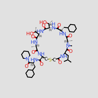 CC(C)CC1NC(=O)CSC[C@@H](C(=O)N[C@@H](CC2CCCCC2)C(=O)N2CCCCC2)NC(=O)[C@H](C)NC(=O)[C@H]([C@@H](C)O)NC(=O)[C@H]([C@@H](C)O)NC(=O)[C@H](CC2CCCCC2)NC(=O)[C@H](C)N(C)C1=O